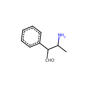 CC(N)C(C=O)c1ccccc1